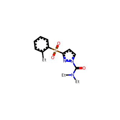 CCc1ccccc1S(=O)(=O)c1ccn(C(=O)N(CC)CC)n1